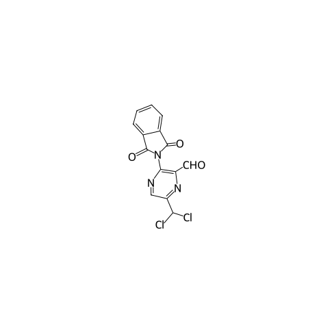 O=Cc1nc(C(Cl)Cl)cnc1N1C(=O)c2ccccc2C1=O